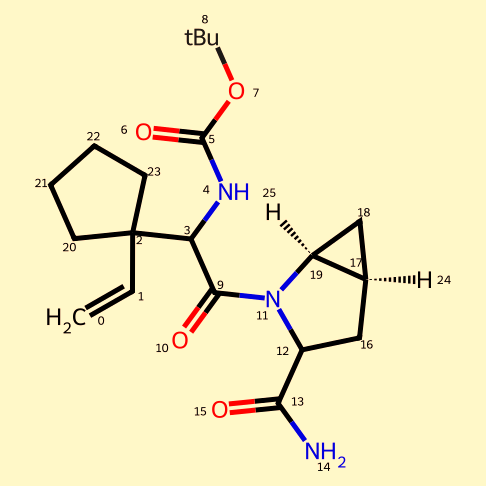 C=CC1(C(NC(=O)OC(C)(C)C)C(=O)N2C(C(N)=O)C[C@@H]3C[C@@H]32)CCCC1